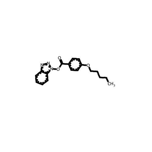 CCCCCOc1ccc(C(=O)On2nnc3ccccc32)cc1